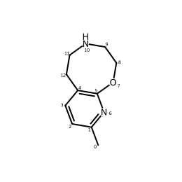 Cc1ccc2c(n1)OCCNCC2